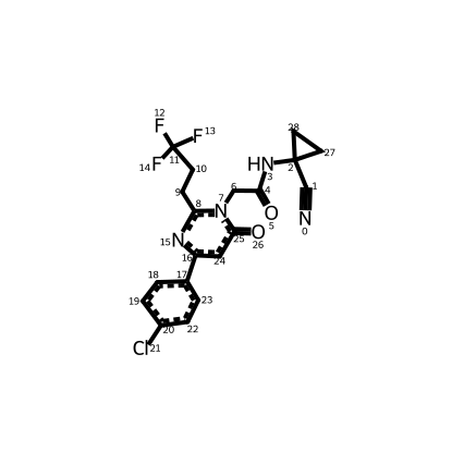 N#CC1(NC(=O)Cn2c(CCC(F)(F)F)nc(-c3ccc(Cl)cc3)cc2=O)CC1